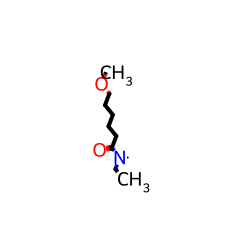 CC[N]C(=O)CCCCCOC